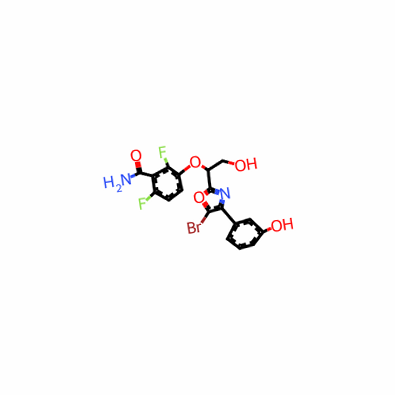 NC(=O)c1c(F)ccc(OC(CO)c2nc(-c3cccc(O)c3)c(Br)o2)c1F